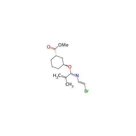 C=C(C)/C(=N\C=C\Br)O[C@H]1CCC[C@H](C(=O)OC)C1